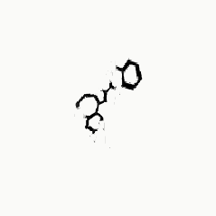 Nc1cc2c(cn1)-c1cc(C(=O)Nc3ccccc3Cl)sc1CCO2